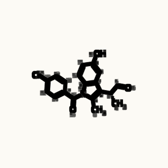 Cc1c([C@@H](C)[C]=O)c2cc(O)ccc2n1C(=O)c1ccc(Cl)cc1